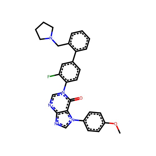 COc1ccc(-n2cnc3ncn(-c4ccc(-c5ccccc5CN5CCCC5)cc4F)c(=O)c32)cc1